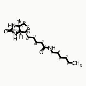 CCCCCCNC(=O)CCCC[C@@H]1SC[C@@H]2NC(=O)N[C@@H]21